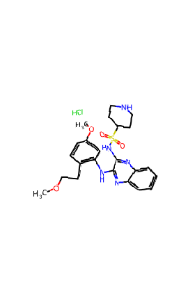 COCCc1ccc(OC)cc1Nc1nc2ccccc2nc1NS(=O)(=O)C1CCNCC1.Cl